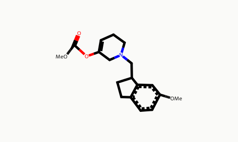 COC(=O)OC1=CCCN(CC2CCc3ccc(OC)cc32)C1